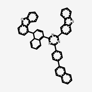 C1=CC2=C(c3nc(-c4ccc(-c5ccc6ccccc6c5)cc4)nc(-c4ccc5sc6ccccc6c5c4)n3)C=CC(c3cccc4oc5ccccc5c34)C2C=C1